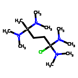 CN(C)[Si](C)(CC[Si](Cl)(N(C)C)N(C)C)N(C)C